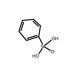 [O][Si](O)(O)c1ccccc1